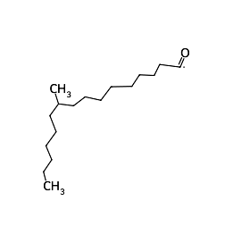 CCCCCCC(C)CCCCCCCC[C]=O